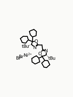 CC(C)(C)[C@H]1N=C(CC2=N[C@H](C(C)(C)C)C(C3CCCCC3)(C3CCCCC3)O2)OC1(C1CCCCC1)C1CCCCC1.[Br-].[Br-].[Ni+2]